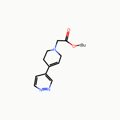 CC(C)(C)OC(=O)CN1CC=C(c2ccnnc2)CC1